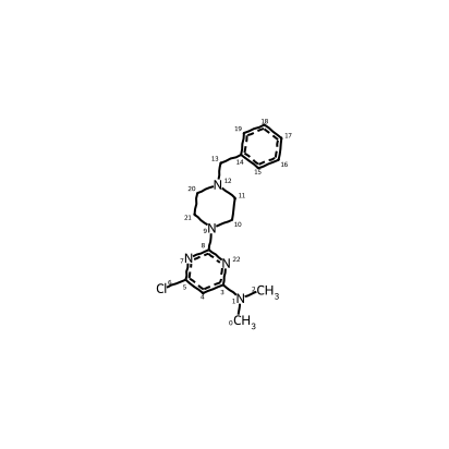 CN(C)c1cc(Cl)nc(N2CCN(Cc3ccccc3)CC2)n1